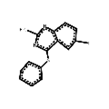 FC(F)(F)c1nc(Sc2ccccc2)c2cc(I)ccc2n1